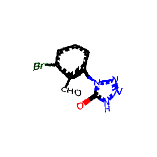 O=Cc1c(Br)cccc1-n1nn[nH]c1=O